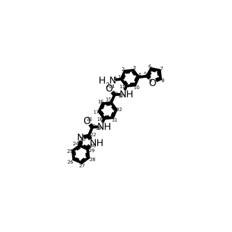 Nc1ccc(-c2ccco2)cc1NC(=O)c1ccc(NC(=O)c2nc3ccccc3[nH]2)cc1